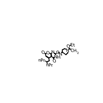 C=C(OCC)N1CCC(=NOc2nc3oc(=O)cc(CC(CCC)CCC)c3c(=O)[nH]2)CC1